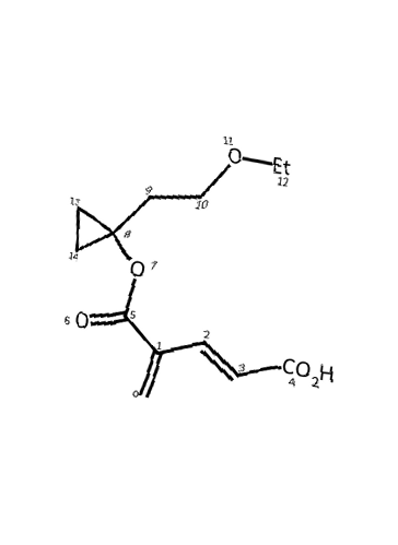 C=C(C=CC(=O)O)C(=O)OC1(CCOCC)CC1